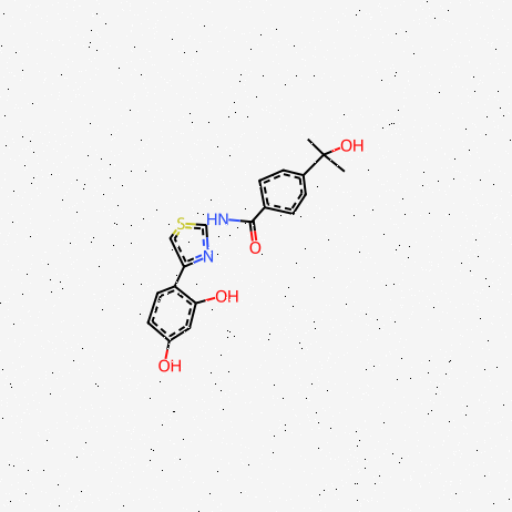 CC(C)(O)c1ccc(C(=O)Nc2nc(-c3ccc(O)cc3O)cs2)cc1